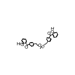 CC(OCCc1ccc(C(=O)c2ccccc2O)cc1)OCCc1ccc(C(=O)c2ccccc2O)cc1